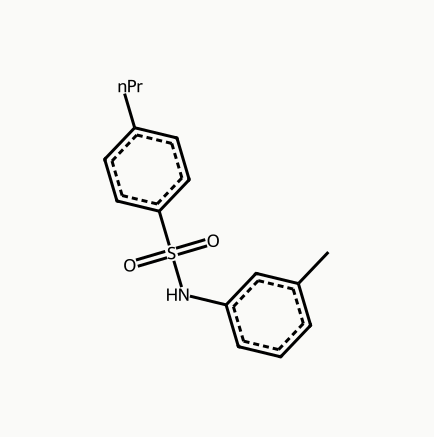 CCCc1ccc(S(=O)(=O)Nc2cccc(C)c2)cc1